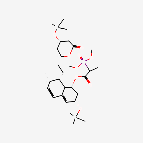 CCOP(=O)(OCC)C(C)C(=O)O[C@H]1C[C@H](O[Si](C)(C)C(C)(C)C)C=C2C=C[C@H](C)[C@H](CC[C@@H]3C[C@@H](O[Si](C)(C)C(C)(C)C)CC(=O)O3)C21